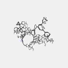 CC[C@@H]1O[C@H](C)CC/C=C\[C@@H]2C[C@@]2(C(=O)NS(=O)(=O)C2(C)CC2)NC(=O)[C@@H]2C[C@@H](Oc3cc(-c4ccc(OC(C)C)cc4)nc(-c4cncs4)c3)CN2C(=O)[C@H]1N(C(=O)O)C(C)(C)C(F)(F)F